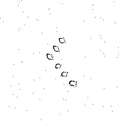 [C].[C].[C].[C].[C].[C]